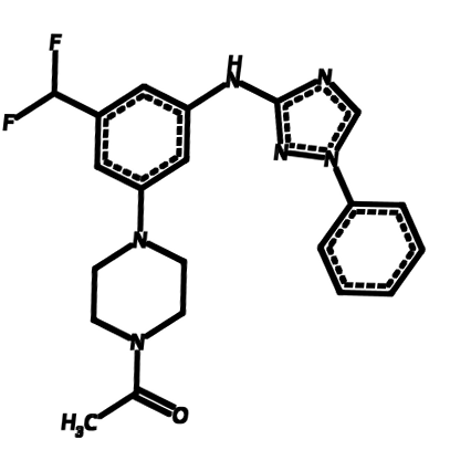 CC(=O)N1CCN(c2cc(Nc3ncn(-c4ccccc4)n3)cc(C(F)F)c2)CC1